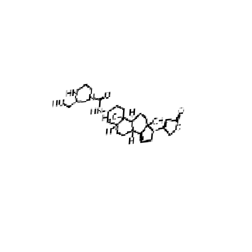 C[C@]12CC[C@H](NC(=O)N3CCN[C@H](CO)C3)C[C@H]1CC[C@H]1C3=CC[C@H](C4=CC(=O)OC4)[C@@]3(C)CC[C@@H]12